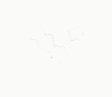 CCOC(=O)c1cn(-c2ccno2)c2cc(F)c(F)cc2c1=O